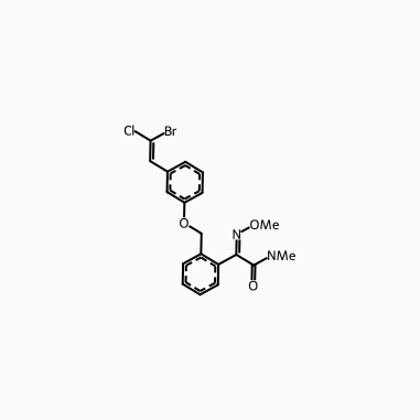 CNC(=O)C(=NOC)c1ccccc1COc1cccc(C=C(Cl)Br)c1